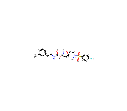 O=C(NCCc1cccc(C(F)(F)F)c1)OC1=NOC2(CCN(S(=O)(=O)c3ccc(F)cc3)CC2)C1